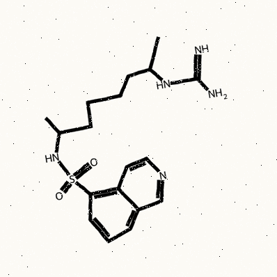 CC(CCCCC(C)NS(=O)(=O)c1cccc2cnccc12)NC(=N)N